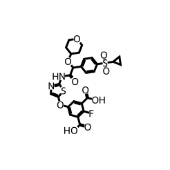 O=C(O)c1cc(Oc2cnc(NC(=O)C(OC3CCOCC3)c3ccc(S(=O)(=O)C4CC4)cc3)s2)cc(C(=O)O)c1F